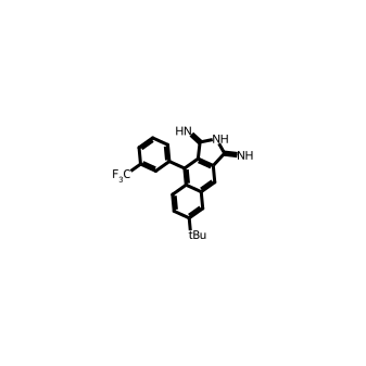 CC(C)(C)c1ccc2c(-c3cccc(C(F)(F)F)c3)c3c(cc2c1)C(=N)NC3=N